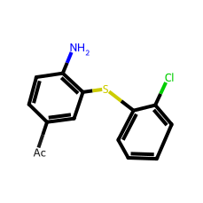 CC(=O)c1ccc(N)c(Sc2ccccc2Cl)c1